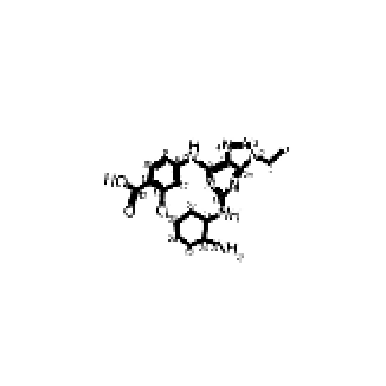 CCn1nnc2c(Nc3ccc(C(=O)O)c(Cl)c3)nc(NC3CCCCC3N)nc21